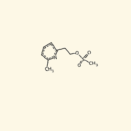 Cc1cccc(CCOS(C)(=O)=O)n1